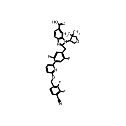 CC1(C)COCC1n1c(Cc2cc(F)c(-c3cccc(OCc4ccc(C#N)c(F)c4F)n3)cc2F)nc2ccc(C(=O)O)cc21